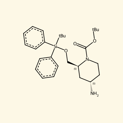 CC(C)(C)OC(=O)N1CC[C@H](N)C[C@H]1CO[Si](c1ccccc1)(c1ccccc1)C(C)(C)C